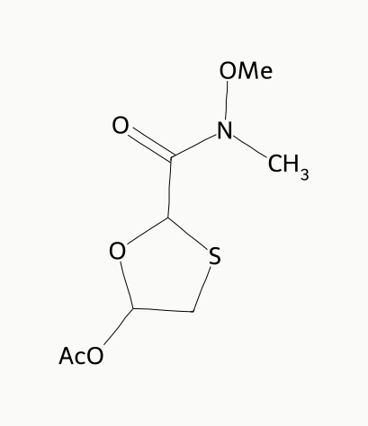 CON(C)C(=O)C1OC(OC(C)=O)CS1